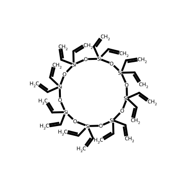 C=C[Si]1(C=C)O[Si](C=C)(C=C)O[Si](C=C)(C=C)O[Si](C=C)(C=C)O[Si](C=C)(C=C)O[Si](C=C)(C=C)O[Si](C=C)(C=C)O[Si](C=C)(C=C)O1